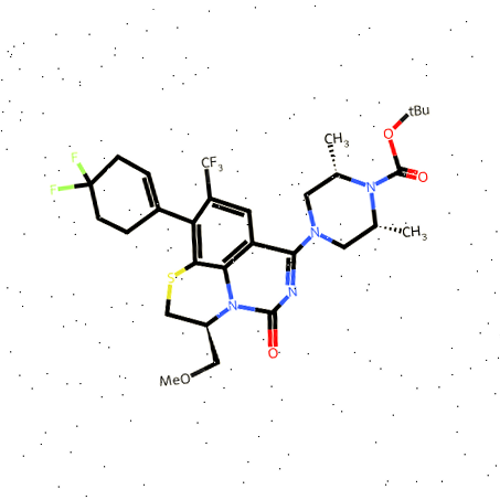 COC[C@H]1CSc2c(C3=CCC(F)(F)CC3)c(C(F)(F)F)cc3c(N4C[C@@H](C)N(C(=O)OC(C)(C)C)[C@@H](C)C4)nc(=O)n1c23